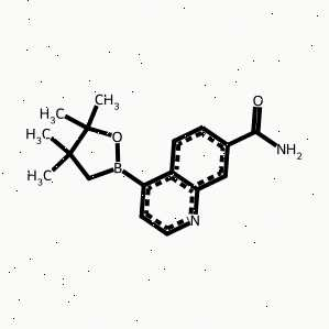 CC1(C)CB(c2ccnc3cc(C(N)=O)ccc23)OC1(C)C